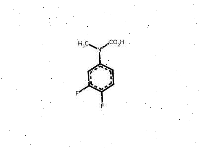 CN(C(=O)O)c1ccc(F)c(F)c1